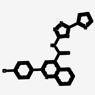 O=C(Nc1nnc(-c2ccco2)o1)c1cc(-c2ccc(Cl)cc2)nc2ccccc12